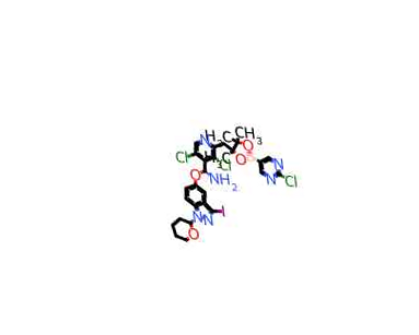 CC1(C)OB(c2cnc(Cl)nc2)OC1(C)Cc1ncc(Cl)c([C@@H](N)Oc2ccc3c(c2)c(I)nn3C2CCCCO2)c1Cl